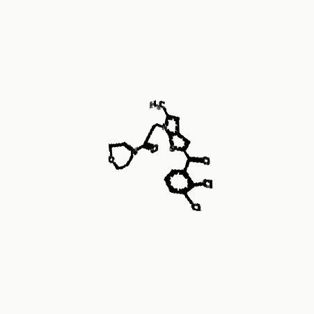 Cc1cc2cc(C(=O)c3cccc(Cl)c3Cl)sc2n1CC(=O)N1CCOCC1